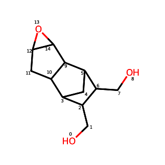 OCC1C2CC(C1CO)C1C2CC2OC21